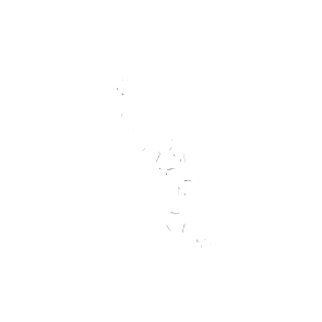 COc1cccc(CNC(=O)c2nc3scc(COCC4CN(C(C)=O)CCO4)c3c(=O)[nH]2)c1